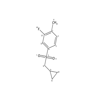 Cc1ccc(S(=O)(=O)CC2CC2)cc1F